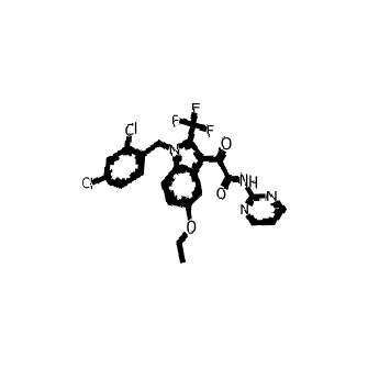 CCOc1ccc2c(c1)c(C(=O)C(=O)Nc1ncccn1)c(C(F)(F)F)n2Cc1ccc(Cl)cc1Cl